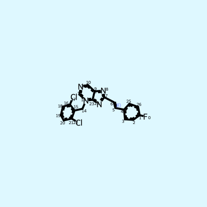 Fc1ccc(/C=C/c2nc3cncn(Cc4c(Cl)cccc4Cl)c-3n2)cc1